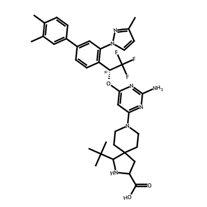 Cc1ccn(-c2cc(-c3ccc(C)c(C)c3)ccc2[C@@H](Oc2cc(N3CCC4(CC3)CC(C(=O)O)NC4C(C)(C)C)nc(N)n2)C(F)(F)F)n1